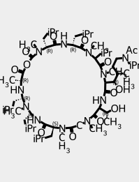 CC(=O)N(CC[C@@H](C)[C@@H](O)C1C(=O)NC([C@@H](C)O)C(=O)N(C)CC(=O)N(C)[C@@H](CC(C)C)C(=O)N[C@H](CC(C)C)N(C)[C@H](CC(C)C)N[C@H](C)C(=O)OC(=O)N(C)[C@H](CC(C)C)C(=O)N[C@H](CC(C)C)C(=O)N(C)C(C(C)C)C(=O)N1C)C(C)C